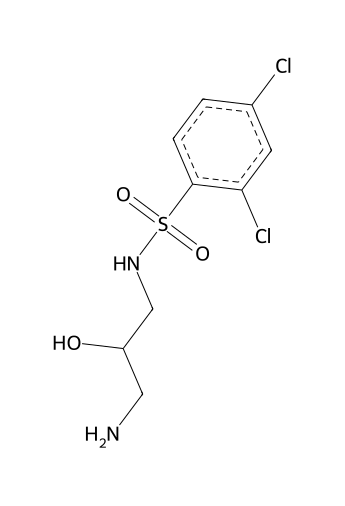 NCC(O)CNS(=O)(=O)c1ccc(Cl)cc1Cl